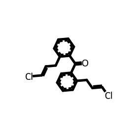 O=C(c1ccccc1CC=CCl)c1ccccc1CC=CCl